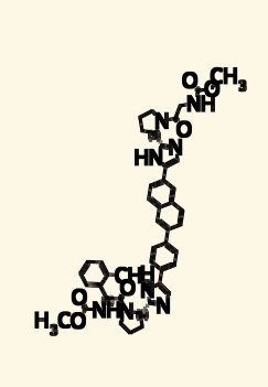 COC(=O)NCC(=O)N1CCC[C@H]1c1ncc(-c2ccc3cc(-c4ccc(-c5cnc([C@@H]6CCCN6C(=O)[C@H](NC(=O)OC)c6ccccc6C)[nH]5)cc4)ccc3c2)[nH]1